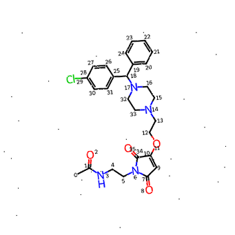 CC(=O)NCCN1C(=O)C=C(OCCN2CCN(C(c3ccccc3)c3ccc(Cl)cc3)CC2)C1=O